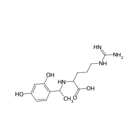 CC(NC(CCCNC(=N)N)C(=O)O)c1ccc(O)cc1O